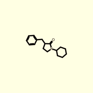 O=C1C(Cc2ccccc2)CCN1C1CCCCC1